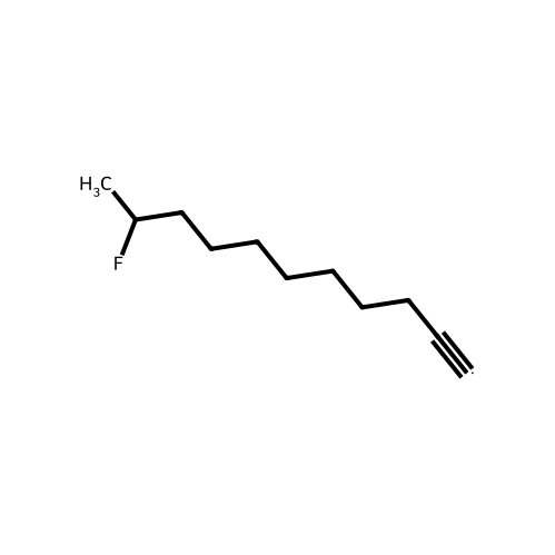 [C]#CCCCCCCCC(C)F